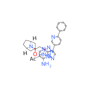 CC(=O)c1c([C@@H]2C[C@H]3CC[C@@H](C2)N3C(=O)Cc2nnn[nH]2)nc2c(-c3ccc(-c4ccccc4)nc3)cnn2c1N